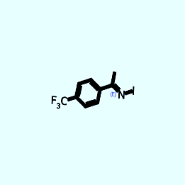 C/C(=N\I)c1ccc(C(F)(F)F)cc1